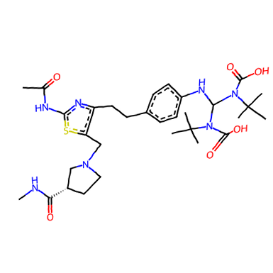 CNC(=O)[C@H]1CCN(Cc2sc(NC(C)=O)nc2CCc2ccc(NC(N(C(=O)O)C(C)(C)C)N(C(=O)O)C(C)(C)C)cc2)C1